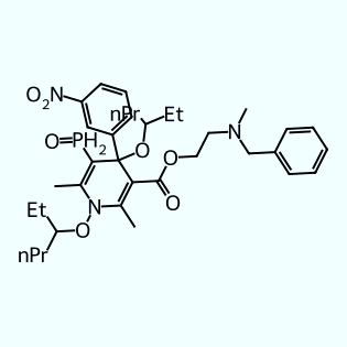 CCCC(CC)ON1C(C)=C([PH2]=O)C(OC(CC)CCC)(c2cccc([N+](=O)[O-])c2)C(C(=O)OCCN(C)Cc2ccccc2)=C1C